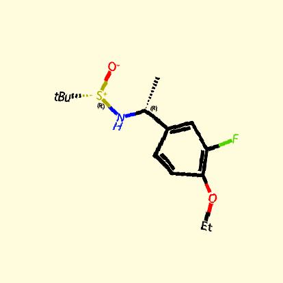 CCOc1ccc([C@@H](C)N[S@@+]([O-])C(C)(C)C)cc1F